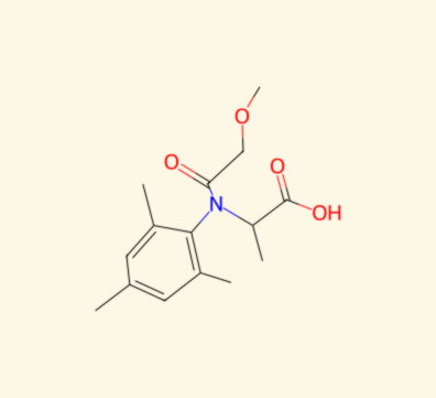 COCC(=O)N(c1c(C)cc(C)cc1C)C(C)C(=O)O